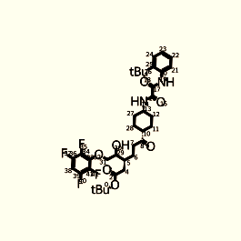 CC(C)(C)OC(=O)C[C@H](CCC(=O)[C@H]1CC[C@H](NC(=O)C(=O)Nc2ccccc2C(C)(C)C)CC1)C(O)COc1c(F)c(F)cc(F)c1F